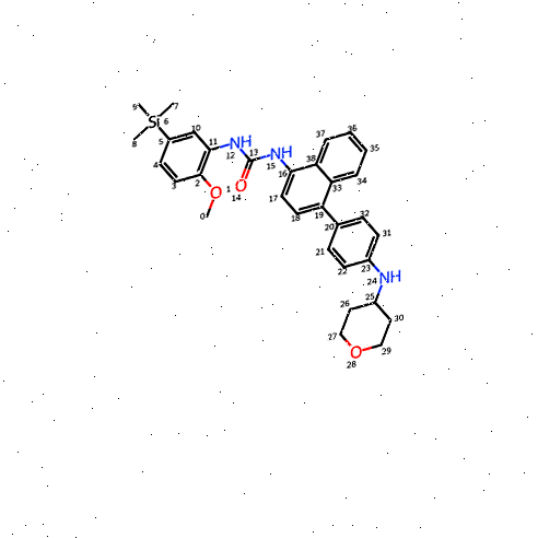 COc1ccc([Si](C)(C)C)cc1NC(=O)Nc1ccc(-c2ccc(NC3CCOCC3)cc2)c2ccccc12